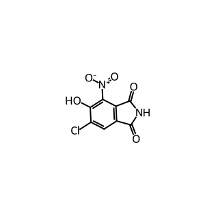 O=C1NC(=O)c2c1cc(Cl)c(O)c2[N+](=O)[O-]